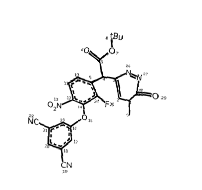 CC1C=C(C(C(=O)OC(C)(C)C)c2ccc([N+](=O)[O-])c(Oc3cc(C#N)cc(C#N)c3)c2F)N=NC1=O